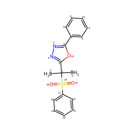 BC(B)(c1nnc(-c2ccccc2)o1)S(=O)(=O)c1ccccc1